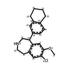 COc1cc2c(cc1Cl)CCNCC2c1ccc2c(c1)CCCC2